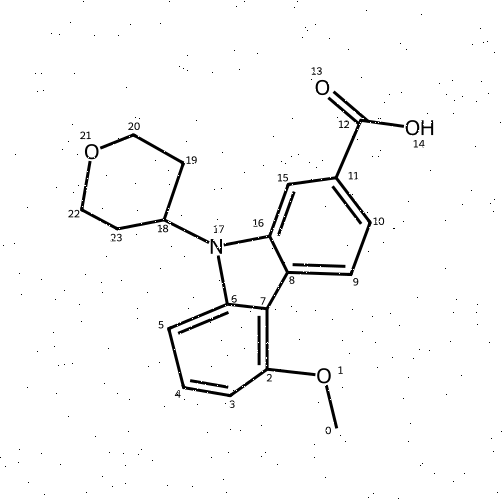 COc1cccc2c1c1ccc(C(=O)O)cc1n2C1CCOCC1